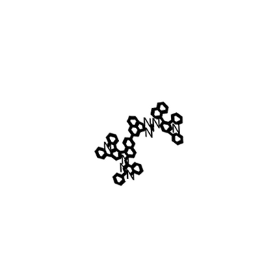 c1ccc(-c2nc(-n3c4ccc5cc(-c6cc7c8c(cccc8c6)-c6nc(-n8c9ccc%10ccccc%10c9c9c%10c%11ccccc%11n%11c%12ccccc%12c(cc98)c%10%11)cnc6-7)ccc5c4c4c5c6ccccc6n6c7ccccc7c(cc43)c56)c3ccccc3n2)cc1